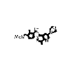 CNCc1cccc([C@@H](C)Nc2nnc(C)c3ncc(N4CCOCC4)cc23)c1C